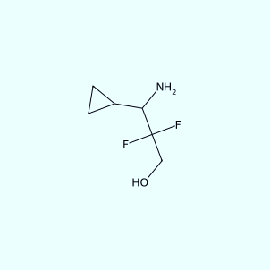 NC(C1CC1)C(F)(F)CO